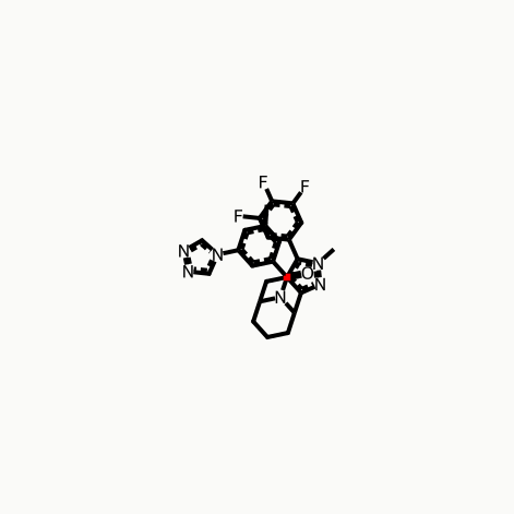 Cc1cc(C(=O)N2C3CCCC2c2nn(C)c(-c4cc(F)c(F)c(F)c4)c2C3)cc(-n2cnnc2)c1